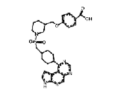 O=C(O)c1ccc(OCC2CCCN(S(=O)(=O)CC3CCC(c4ncnc5cnc6[nH]ccc6c45)CC3)C2)cc1